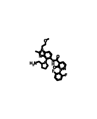 COCCn1c(C)nc2c(N3CCCC3CN)c(NC(=O)c3ccnn(-c4c(F)cccc4F)c3=O)ccc21